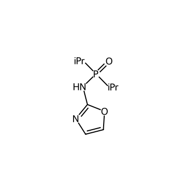 CC(C)P(=O)(Nc1ncco1)C(C)C